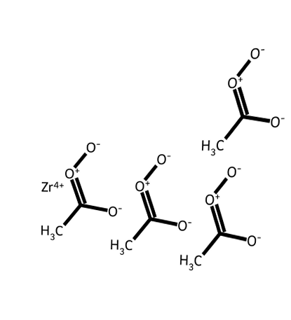 CC([O-])=[O+][O-].CC([O-])=[O+][O-].CC([O-])=[O+][O-].CC([O-])=[O+][O-].[Zr+4]